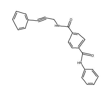 O=C(NCC#Cc1ccccc1)c1ccc(C(=O)Nc2ccccc2)cc1